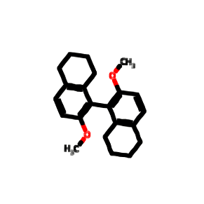 COc1ccc2c(c1-c1c(OC)ccc3c1CCCC3)CCCC2